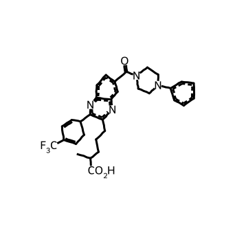 CC(CCCc1nc2cc(C(=O)N3CCN(c4ccccc4)CC3)ccc2nc1C1C=CC(C(F)(F)F)=CC1)C(=O)O